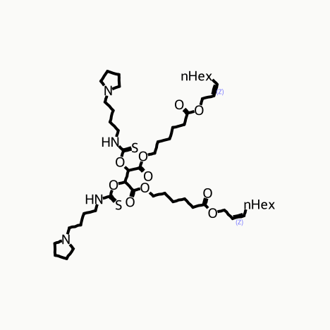 CCCCCC/C=C\COC(=O)CCCCCOC(=O)C(OC(=S)NCCCCN1CCCC1)C(OC(=S)NCCCCN1CCCC1)C(=O)OCCCCCC(=O)OC/C=C\CCCCCC